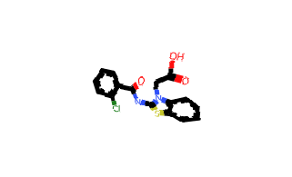 O=C(O)Cn1c(=NC(=O)c2ccccc2Cl)sc2ccccc21